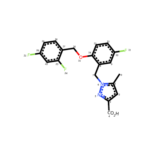 Cc1cc(C(=O)O)nn1Cc1cc(F)ccc1OCc1ccc(F)cc1F